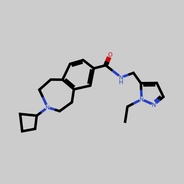 CCn1nccc1CNC(=O)c1ccc2c(c1)CCN(C1CCC1)CC2